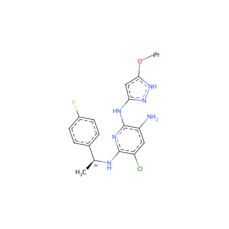 CC(C)Oc1cc(Nc2nc(N[C@@H](C)c3ccc(F)cc3)c(Cl)cc2N)n[nH]1